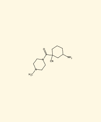 CN1CCN(C(=O)C2(C#N)CCCC(N)C2)CC1